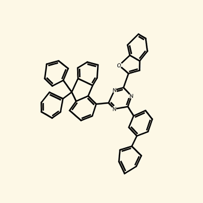 c1ccc(-c2cccc(-c3nc(-c4cc5ccccc5o4)nc(-c4cccc5c4-c4ccccc4C5(c4ccccc4)c4ccccc4)n3)c2)cc1